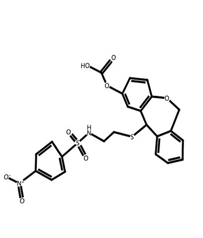 O=C(O)Oc1ccc2c(c1)C(SCCNS(=O)(=O)c1ccc([N+](=O)[O-])cc1)c1ccccc1CO2